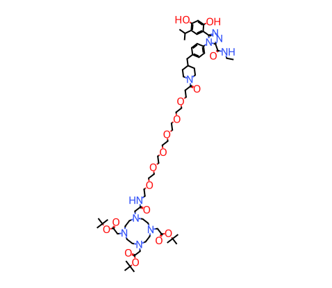 CCNC(=O)c1nnc(-c2cc(C(C)C)c(O)cc2O)n1-c1ccc(CC2CCN(C(=O)CCOCCOCCOCCOCCOCCOCCNC(=O)CN3CCN(CC(=O)OC(C)(C)C)CCN(CC(=O)OC(C)(C)C)CCN(CC(=O)OC(C)(C)C)CC3)CC2)cc1